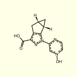 O=C(O)c1nn(-c2c[n+](O)ccn2)c2c1C[C@@H]1C[C@H]21